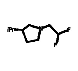 CC(C)[C@@H]1CCN(CC(F)F)C1